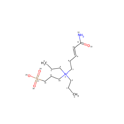 CCC[N+](CCC)(CCC=CC(N)=O)CCCS(=O)(=O)[O-]